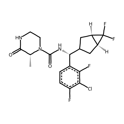 C[C@@H]1C(=O)NCCN1C(=O)N[C@@H](c1ccc(F)c(Cl)c1F)C1C[C@@H]2[C@H](C1)C2(F)F